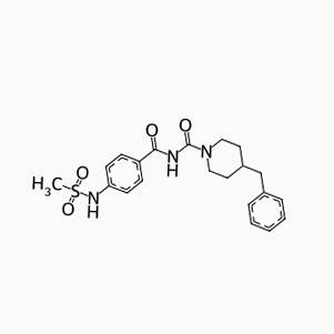 CS(=O)(=O)Nc1ccc(C(=O)NC(=O)N2CCC(Cc3ccccc3)CC2)cc1